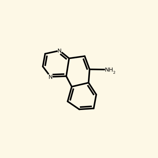 Nc1cc2nccnc2c2ccccc12